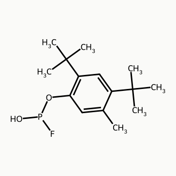 Cc1cc(OP(O)F)c(C(C)(C)C)cc1C(C)(C)C